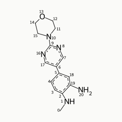 CNc1ccc(-c2cnc(N3CCOCC3)nc2)cc1N